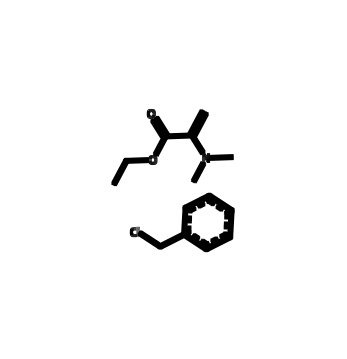 C=C(C(=O)OCC)N(C)C.ClCc1ccccc1